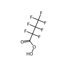 O=C(OO)C(F)(F)C(F)(F)C(F)(F)F